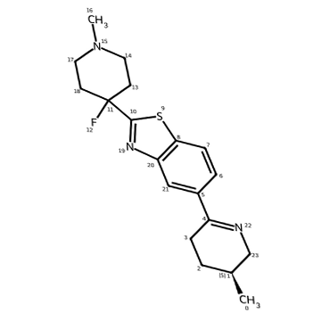 C[C@H]1CCC(c2ccc3sc(C4(F)CCN(C)CC4)nc3c2)=NC1